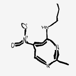 CCNc1nc(C)ncc1[N+](=O)[O-]